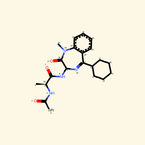 CCCC(=O)N[C@@H](C)C(=O)NC1N=C(C2CCCCC2)c2ccccc2N(C)C1=O